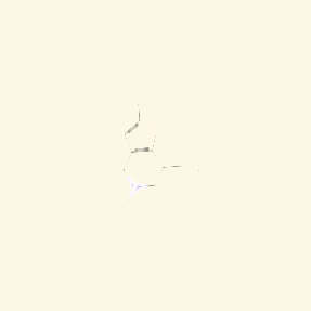 CCOC(=O)c1cc2c(s1)C(C)CN(C)C2